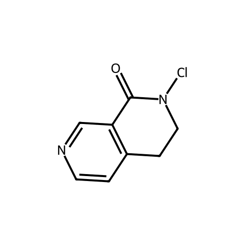 O=C1c2cnccc2CCN1Cl